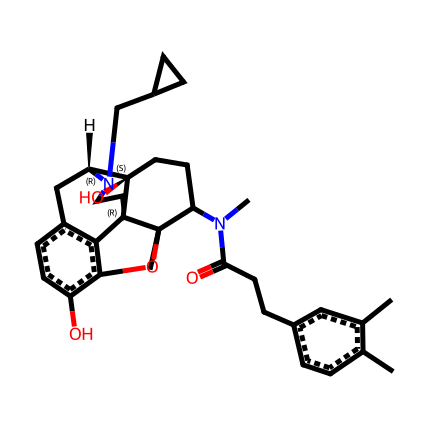 Cc1ccc(CCC(=O)N(C)C2CC[C@@]3(O)[C@H]4Cc5ccc(O)c6c5[C@@]3(CCN4CC3CC3)C2(C)O6)cc1C